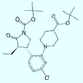 CC[C@H]1C(=O)N(C(=O)OC(C)(C)C)C[C@@H]1c1ccc(Cl)cc1N1CCC(C(=O)OC(C)(C)C)CC1